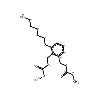 COC(=O)CCc1c(CCCCCCO)cccc1OCC(=O)OC